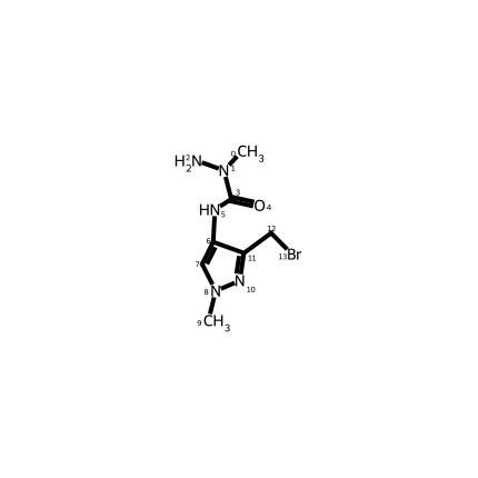 CN(N)C(=O)Nc1cn(C)nc1CBr